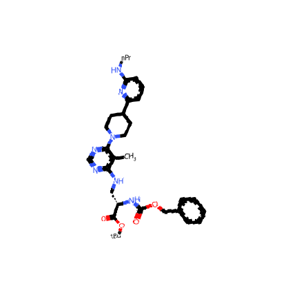 CCCNc1cccc(C2CCN(c3ncnc(NC[C@H](NC(=O)OCc4ccccc4)C(=O)OC(C)(C)C)c3C)CC2)n1